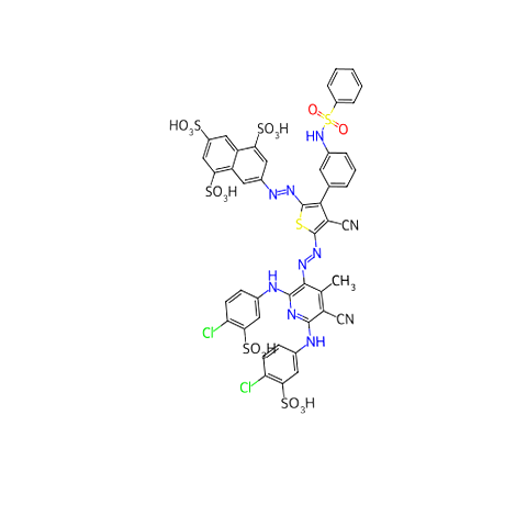 Cc1c(C#N)c(Nc2ccc(Cl)c(S(=O)(=O)O)c2)nc(Nc2ccc(Cl)c(S(=O)(=O)O)c2)c1N=Nc1sc(/N=N/c2cc(S(=O)(=O)O)c3cc(S(=O)(=O)O)cc(S(=O)(=O)O)c3c2)c(-c2cccc(NS(=O)(=O)c3ccccc3)c2)c1C#N